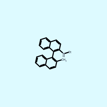 CCNc1ccc2ccccc2c1-c1c(C)ccc2ccccc12